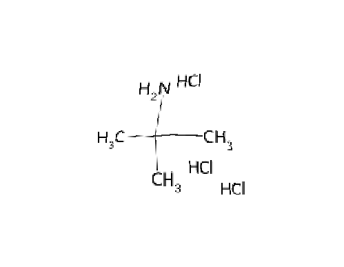 CC(C)(C)N.Cl.Cl.Cl